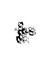 C[C@H]1COCCN1c1nc(N2CCOC[C@@H]2C)c2ccc(-c3cccnc3N(C)C)nc2n1